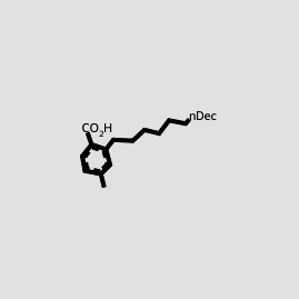 CCCCCCCCCCCCCCCCc1cc(C)ccc1C(=O)O